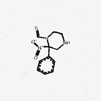 O=CN1CCNCC1(c1ccccc1)[N+](=O)[O-]